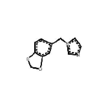 [CH](c1ccc2c(c1)OCO2)n1ccnc1